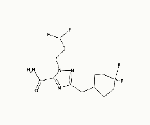 NC(=O)c1nc(CC2CCC(F)(F)CC2)nn1CCC(F)F